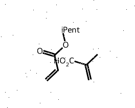 C=C(C)C(=O)O.C=CC(=O)OC(C)CCC